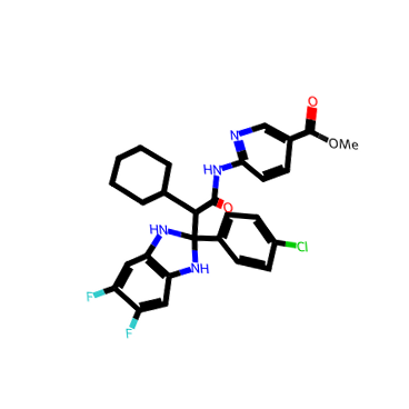 COC(=O)c1ccc(NC(=O)C(C2CCCCC2)C2(c3ccc(Cl)cc3)Nc3cc(F)c(F)cc3N2)nc1